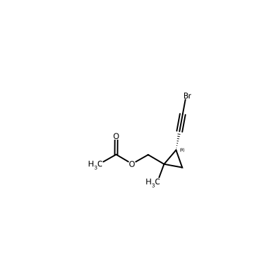 CC(=O)OCC1(C)C[C@H]1C#CBr